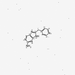 Nc1ncc2nc(Cc3ccncc3)[nH]c2n1